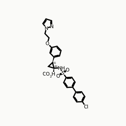 O=C(O)[C@@]1(NS(=O)(=O)c2ccc(-c3ccc(Cl)cc3)cc2)C[C@H]1c1cccc(OCCn2cccn2)c1